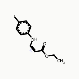 CCOC(=O)/C=C\Nc1ccc(I)cc1